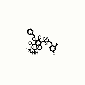 C[C@H]1CNC2C3CCc4c(-c5nnc(Cc6ccc(F)cc6F)s5)c(=O)c(OCc5ccccc5)c(n43)C(=O)N21